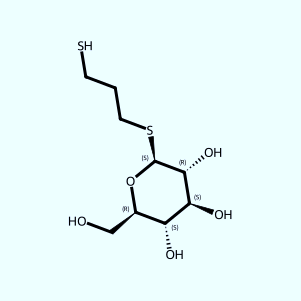 OC[C@H]1O[C@@H](SCCCS)[C@H](O)[C@@H](O)[C@@H]1O